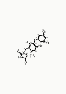 C[C@@H]1C(=O)NC(=O)N1Cc1ccc(Br)c(Oc2cc(Cl)cc(C#N)c2)c1F